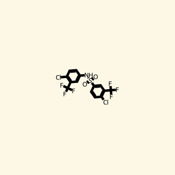 O=S(=O)(Nc1ccc(Cl)c(C(F)(F)F)c1)c1ccc(Cl)c(C(F)(F)F)c1